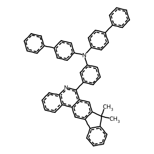 CC1(C)c2ccccc2-c2cc3c(cc21)c(-c1cccc(N(c2ccc(-c4ccccc4)cc2)c2ccc(-c4ccccc4)cc2)c1)nc1ccccc13